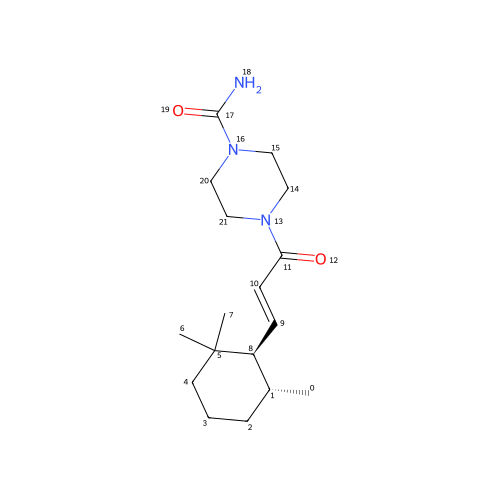 C[C@@H]1CCCC(C)(C)[C@H]1C=CC(=O)N1CCN(C(N)=O)CC1